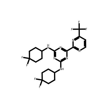 FC1(F)CCC(Nc2nc(NC3CCC(F)(F)CC3)nc(-c3nccc(C(F)(F)F)n3)n2)CC1